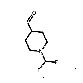 O=CC1CCN(C(F)F)CC1